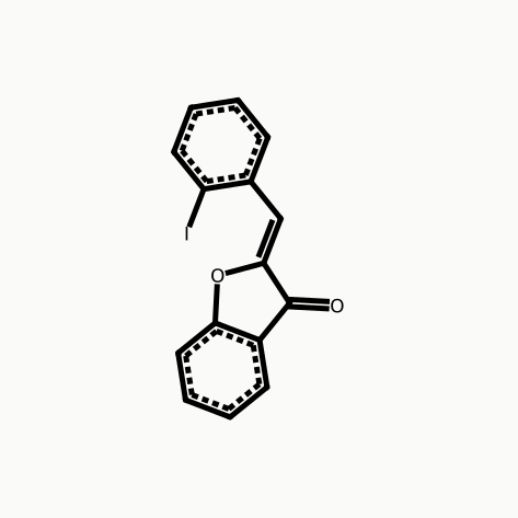 O=C1/C(=C/c2ccccc2I)Oc2ccccc21